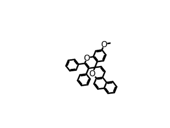 COc1ccc2c(c1)OC(c1ccccc1)=C(c1ccccc1)C21C=Cc2c(ccc3ccccc23)O1